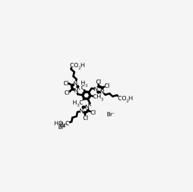 Cc1c(C[n+]2cn(CCCCC(=O)O)c(Cl)c2Cl)c(C)c(C[n+]2cn(CCCCC(=O)O)c(Cl)c2Cl)c(C)c1C[n+]1cn(CCCCC(=O)O)c(Cl)c1Cl.[Br-].[Br-].[Br-]